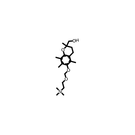 Cc1c(C)c2c(c(C)c1OCOCC[Si](C)(C)C)CCC(C)(CO)O2